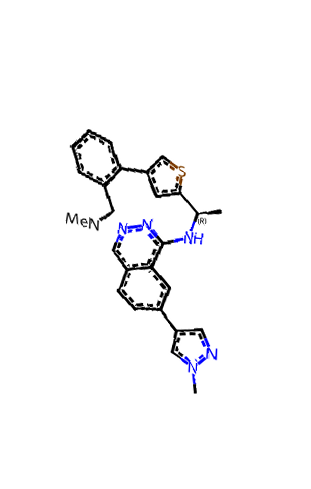 CNCc1ccccc1-c1csc([C@@H](C)Nc2nncc3ccc(-c4cnn(C)c4)cc23)c1